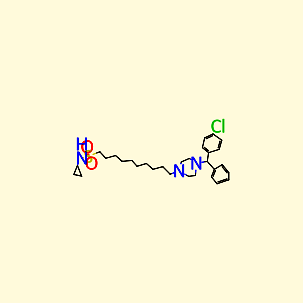 O=S(=O)(CCCCCCCCCCN1CCN(C(c2ccccc2)c2ccc(Cl)cc2)CC1)NC1CC1